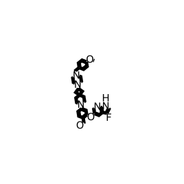 COc1ccc(CN2CCN(C3CC4(CCN(c5ccc(C=O)c(Oc6cnc7[nH]cc(F)c7c6)c5)CC4)C3)CC2)cc1